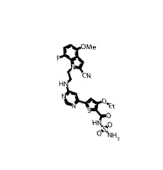 CCOc1cc(-c2cc(NCCn3c(C#N)cc4c(OC)ccc(F)c43)ncn2)sc1C(=O)NS(N)(=O)=O